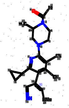 CCC(=O)N1CCN(c2nc(C3CC3)c(/C(C=N)=C/NC)c(C)c2C#N)CC1C